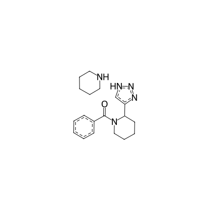 C1CCNCC1.O=C(c1ccccc1)N1CCCCC1c1c[nH]nn1